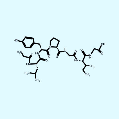 CC[C@H](C)[C@H](NC(=O)CNC(=O)[C@@H]1CCCN1C(=O)[C@H](Cc1ccc(O)cc1)NC(=O)[C@H](CC(C)C)NC(=O)CN)C(=O)NCC(=O)O